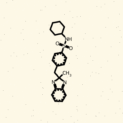 CC1(Cc2ccc(S(=O)(=O)NC3CCCCC3)cc2)N=c2ccccc2=N1